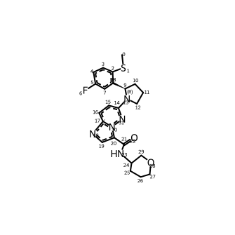 CSc1ccc(F)cc1[C@H]1CCCN1c1ccc2ncc(C(=O)NC3CCCOC3)n2n1